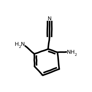 N#Cc1c(N)c[c]cc1N